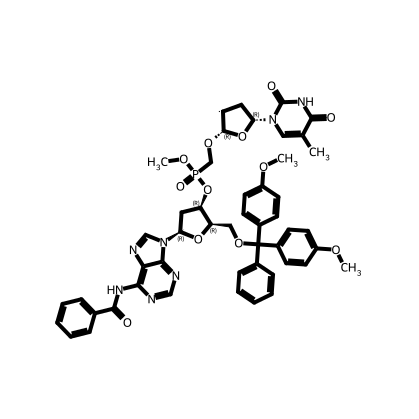 COc1ccc(C(OC[C@H]2O[C@@H](n3cnc4c(NC(=O)c5ccccc5)ncnc43)C[C@H]2OP(=O)(CO[C@@H]2[CH]C[C@H](n3cc(C)c(=O)[nH]c3=O)O2)OC)(c2ccccc2)c2ccc(OC)cc2)cc1